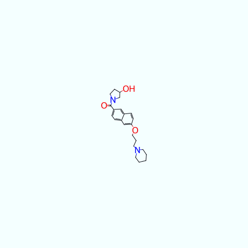 O=C(c1ccc2cc(OCCCN3CCCCC3)ccc2c1)N1CCC(O)C1